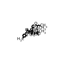 Cc1ccc(CNC(=O)[C@H](CO[C@@H]2CCN(C(=O)C(C#N)=CC(C)C)C2)N[C@](C=O)(NC(=O)c2cc(C)on2)[C@@H](C)O)c(F)c1